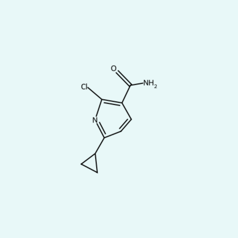 NC(=O)c1ccc(C2CC2)nc1Cl